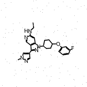 CCNc1cc2c(cn1)c(-c1cnn(C)c1)nn2C1CCC(Oc2cccc(F)c2)CC1